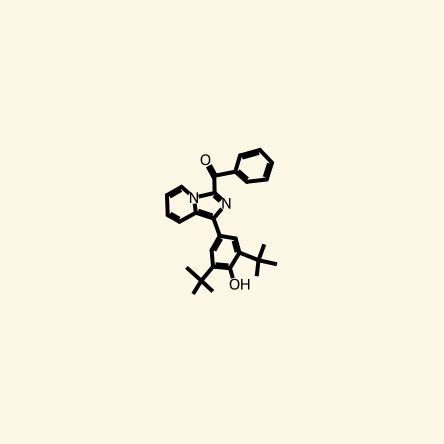 CC(C)(C)c1cc(-c2nc(C(=O)c3ccccc3)n3ccccc23)cc(C(C)(C)C)c1O